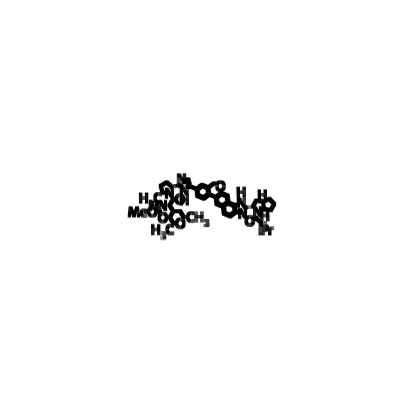 COC(=O)N[C@H](C(=O)N1[C@@H](C)CC[C@H]1c1ncc(-c2ccc3c(c2)COc2cc4c(ccc5nc([C@@H]6C[C@@H]7CCC[C@@H]7N6C(=O)[CH]C(C)C)[nH]c54)cc2-3)[nH]1)C1C[C@@H](C)O[C@H](C)C1